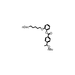 CCCCCCCCCCCCCCCOc1ccccc1OC(=O)c1ccc(C(C)OCCCC)cc1